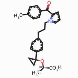 Cc1ccc(C(=O)c2cccn2CCCc2ccc(C3(O[C@H](C)C(=O)O)CC3)cc2)cc1